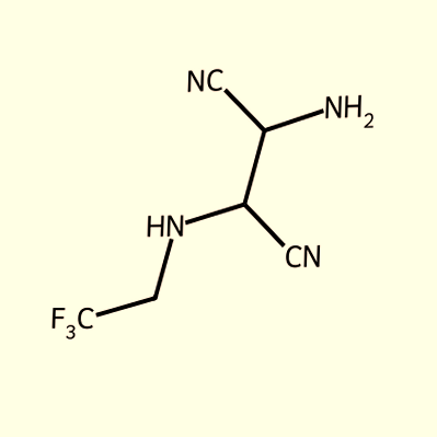 N#CC(N)C(C#N)NCC(F)(F)F